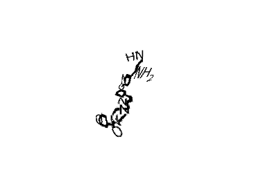 N=C/C=C(\N)c1ccc(Oc2ccc3nc(CN4CCN(C(=O)C5CCOCC5)CC4)ccc3c2)nc1